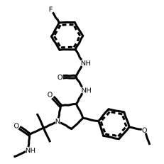 CNC(=O)C(C)(C)N1CC(c2ccc(OC)cc2)C(NC(=O)Nc2ccc(F)cc2)C1=O